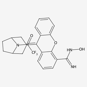 N=C(NO)c1cccc2c1Oc1ccccc1C2=C1CC2CCC(C1)N2C(=O)C(F)(F)F